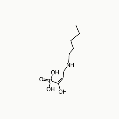 CCCCCNCC=C(O)P(=O)(O)O